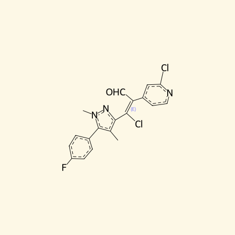 Cc1c(/C(Cl)=C(\C=O)c2ccnc(Cl)c2)nn(C)c1-c1ccc(F)cc1